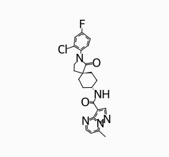 Cc1ccnc2c(C(=O)N[C@H]3CC[C@]4(CCN(c5ccc(F)cc5Cl)C4=O)CC3)cnn12